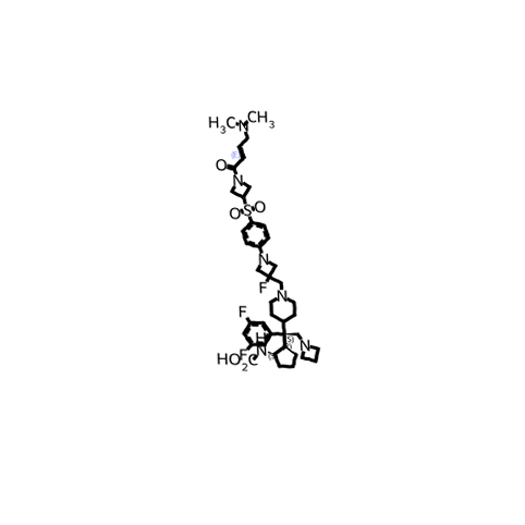 CN(C)C/C=C/C(=O)N1CC(S(=O)(=O)c2ccc(N3CC(F)(CN4CCC([C@@](CN5CCC5)(c5cc(F)cc(F)c5)[C@H]5CCC[C@@H]5NC(=O)O)CC4)C3)cc2)C1